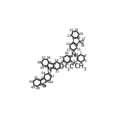 CC1(C)c2ccccc2N(c2ccc3c(c2)C2(CC2)c2ccccc2-3)c2ccc(-c3ccc4c(c3)c3ccccc3n4-c3ccc4sc5ccccc5c4c3)cc21